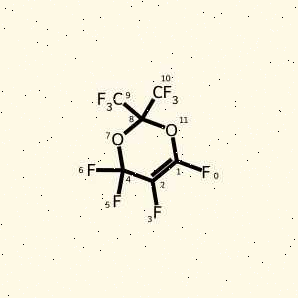 FC1=C(F)C(F)(F)OC(C(F)(F)F)(C(F)(F)F)O1